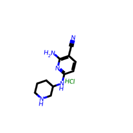 Cl.N#Cc1ccc(NC2CCCNC2)nc1N